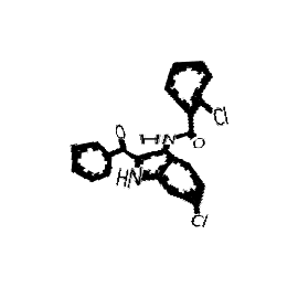 O=C(Nc1c(C(=O)c2ccccc2)[nH]c2cc(Cl)ccc12)c1ccccc1Cl